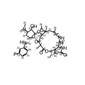 CC[C@@H]1OC(=O)C(C)C(=O)[C@H](C)[C@@H](O[C@@H]2O[C@H](CNc3cccc(F)c3)CC(N(C)C)C2O)[C@](C)(OC)C[C@@H](C)CN[C@H](C)[C@H]2NC(=O)O[C@]12C